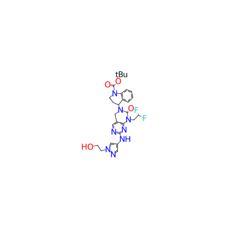 CC(C)(C)OC(=O)N1CCC(N2Cc3cnc(Nc4cnn(CCO)c4)nc3N(CC(F)F)C2=O)c2ccccc21